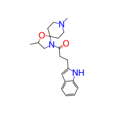 CC1CN(C(=O)CCc2cc3ccccc3[nH]2)C2(CCN(C)CC2)O1